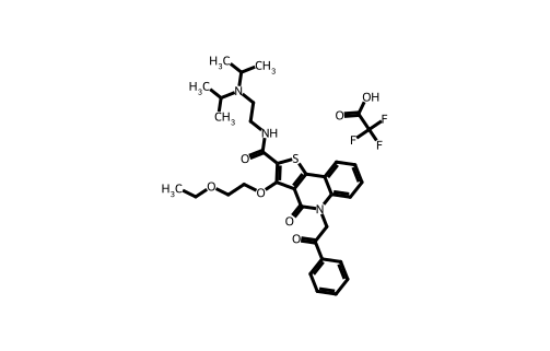 CCOCCOc1c(C(=O)NCCN(C(C)C)C(C)C)sc2c1c(=O)n(CC(=O)c1ccccc1)c1ccccc21.O=C(O)C(F)(F)F